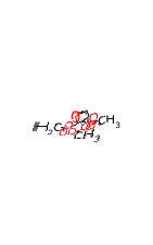 CC(=O)OCC1OC=CC(OC(C)=O)[C@@H]1OC(C)=O